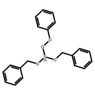 c1ccc(CO[SiH](OCc2ccccc2)OOc2ccccc2)cc1